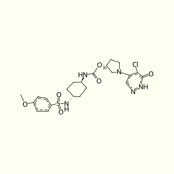 COc1ccc(S(=O)(=O)N[C@H]2CC[C@H](NC(=O)O[C@@H]3CCN(c4cn[nH]c(=O)c4Cl)C3)CC2)cc1